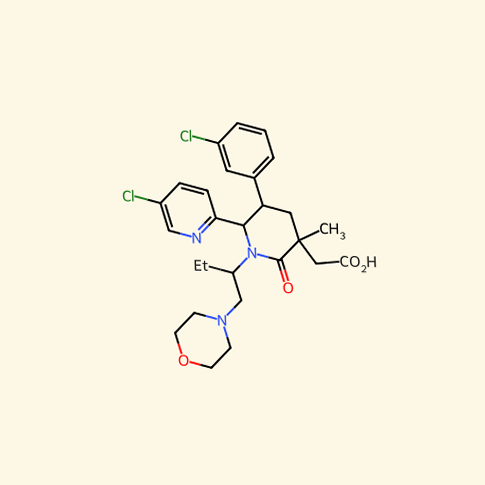 CCC(CN1CCOCC1)N1C(=O)C(C)(CC(=O)O)CC(c2cccc(Cl)c2)C1c1ccc(Cl)cn1